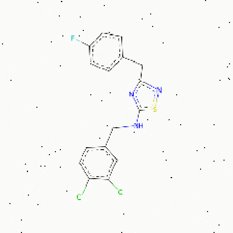 Fc1ccc(Cc2nsc(NCc3ccc(Cl)c(Cl)c3)n2)cc1